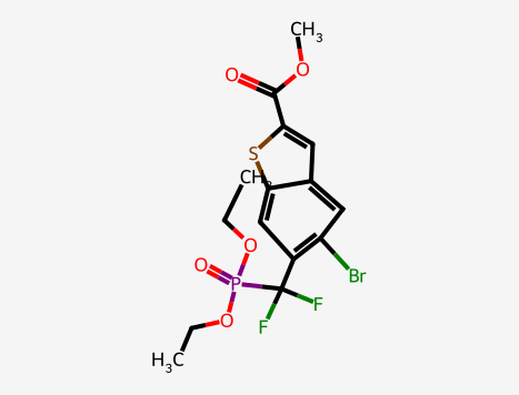 CCOP(=O)(OCC)C(F)(F)c1cc2sc(C(=O)OC)cc2cc1Br